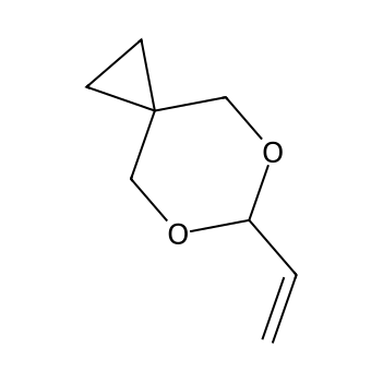 C=CC1OCC2(CC2)CO1